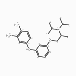 CC(C)N(C(C)C)C(C)COc1cccc(Oc2ccc(N)c(N)c2)c1